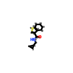 O=C(NCC1CC1)c1csc2c1CCCC2